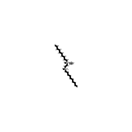 CCCCCCCCCC[N+](C)(C)CC[N+](C)(C)CCCCCCCCCC.[Br-].[Br-]